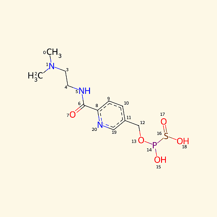 CN(C)CCNC(=O)c1ccc(COP(O)S(=O)O)cn1